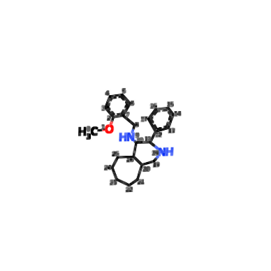 COc1ccccc1CNC1C(c2ccccc2)NCC2CCCCCC21